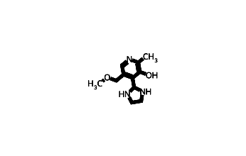 COCc1cnc(C)c(O)c1C1NCCN1